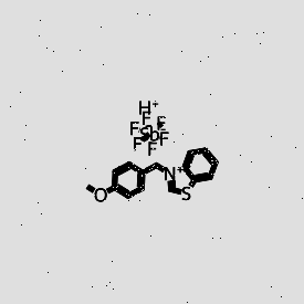 COc1ccc(C[n+]2csc3ccccc32)cc1.[F][Sb-]([F])([F])([F])([F])[F].[H+]